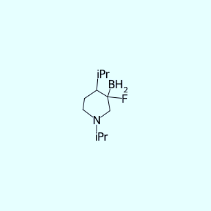 BC1(F)CN(C(C)C)CCC1C(C)C